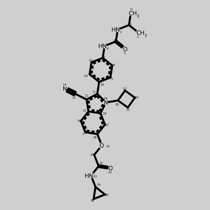 CC(C)NC(=O)Nc1ccc(-c2c(C#N)c3ccc(OCC(=O)NC4CC4)cc3n2C2CCC2)cc1